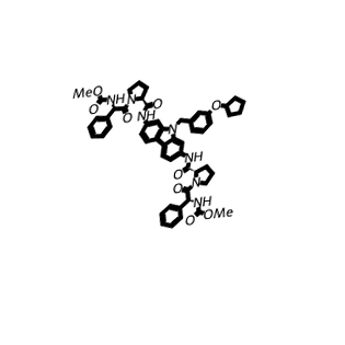 COC(=O)N[C@@H](C(=O)N1CCC[C@H]1C(=O)Nc1ccc2c3ccc(NC(=O)[C@@H]4CCCN4C(=O)[C@H](NC(=O)OC)c4ccccc4)cc3n(Cc3cccc(OC4CCCC4)c3)c2c1)c1ccccc1